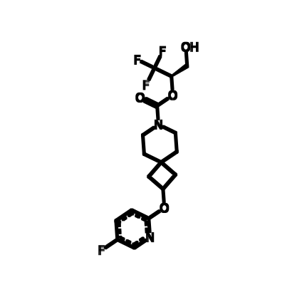 O=C(O[C@H](CO)C(F)(F)F)N1CCC2(CC1)CC(Oc1ccc(F)cn1)C2